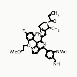 C=CC(=O)N1CCn2nc(-c3nc(-c4ccc(C=N)c(NC)c4)c4ccsc4c3-c3c(F)cc(F)cc3OCCOC)cc2C1C